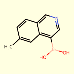 Cc1ccc2cncc(B(O)O)c2c1